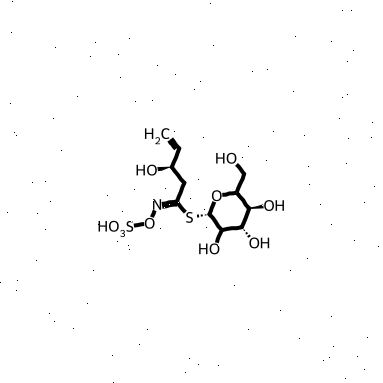 C=C[C@H](O)C/C(=N/OS(=O)(=O)O)S[C@@H]1OC(CO)[C@@H](O)[C@H](O)C1O